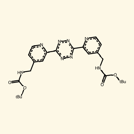 CC(C)(C)OC(=O)NCc1ccnc(-c2nnc(-c3cc(CNC(=O)OC(C)(C)C)ccn3)nn2)c1